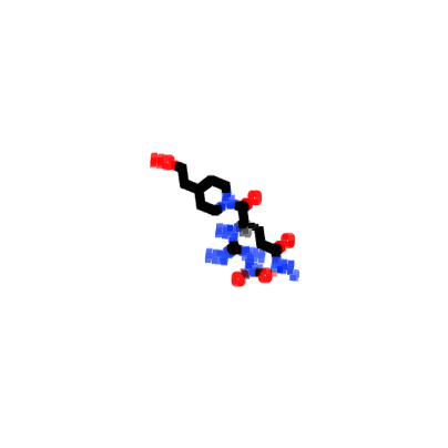 N=C(N[C@@H](CCC(N)=O)C(=O)N1CCC(CCO)CC1)N[N+](=O)[O-]